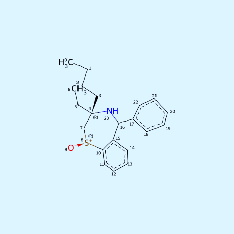 CCCC[C@]1(CC)C[S@+]([O-])c2ccccc2C(c2ccccc2)N1